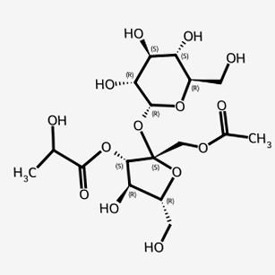 CC(=O)OC[C@@]1(O[C@H]2O[C@H](CO)[C@@H](O)[C@H](O)[C@H]2O)O[C@H](CO)[C@@H](O)[C@@H]1OC(=O)C(C)O